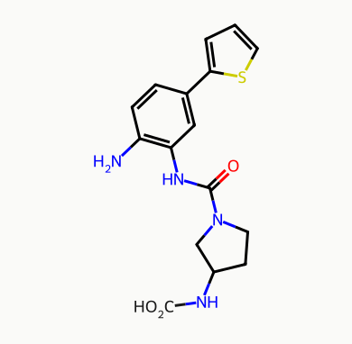 Nc1ccc(-c2cccs2)cc1NC(=O)N1CCC(NC(=O)O)C1